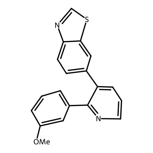 COc1cccc(-c2ncccc2-c2ccc3ncsc3c2)c1